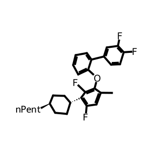 CCCCC[C@H]1CC[C@H](c2c(F)cc(C)c(Oc3ccccc3-c3ccc(F)c(F)c3)c2F)CC1